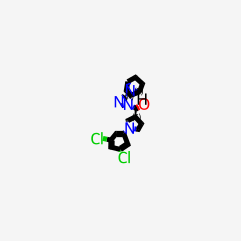 CN(C(=O)[C@H]1CCN(c2cc(Cl)cc(Cl)c2)C1)[C@@H]1CC2CC[C@H]1N2C#N